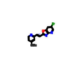 COc1ccnc(/C=C/c2nc3ncc(Br)cc3o2)c1